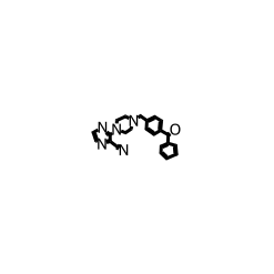 N#Cc1nccnc1N1CCN(Cc2ccc(C(=O)c3ccccc3)cc2)CC1